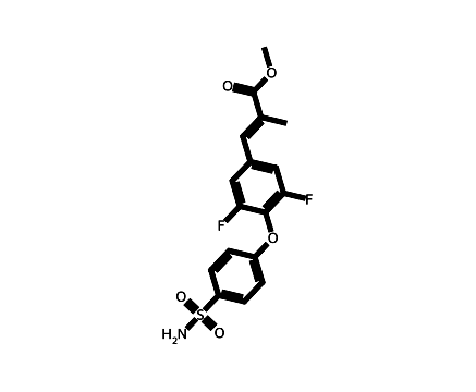 COC(=O)/C(C)=C/c1cc(F)c(Oc2ccc(S(N)(=O)=O)cc2)c(F)c1